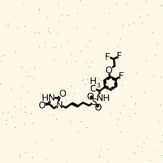 CC(NS(=O)(=O)CC/C=C/CN1CC(=O)NC1=O)c1ccc(F)c(OCC(F)F)c1